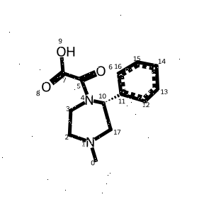 CN1CCN(C(=O)C(=O)O)[C@H](c2ccccc2)C1